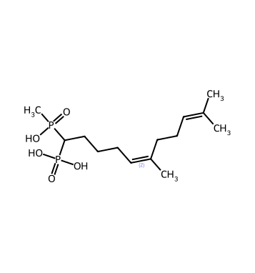 CC(C)=CCC/C(C)=C\CCCC(P(C)(=O)O)P(=O)(O)O